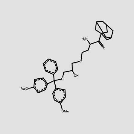 COc1ccc(C(OCC(O)COCCC(N)C(=O)C23CC4CC(CC(C4)C2)C3)(c2ccccc2)c2ccc(OC)cc2)cc1